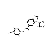 CC1(C)COCC1n1cnc2ccc(C(=O)OCc3cc(F)c(Br)cc3F)cc21